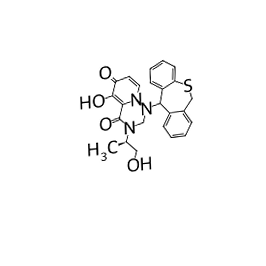 C[C@H](CO)N1CN(C2c3ccccc3CSc3ccccc32)n2ccc(=O)c(O)c2C1=O